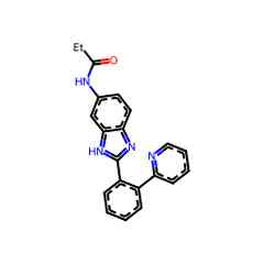 CCC(=O)Nc1ccc2nc(-c3ccccc3-c3ccccn3)[nH]c2c1